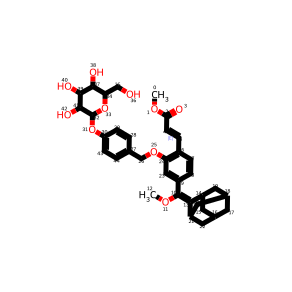 COC(=O)/C=C/c1ccc(C(OC)=C2C3CC4CC(C3)CC2C4)cc1OCc1ccc(OC2OC(CO)C(O)C(O)C2O)cc1